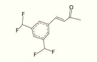 CC(=O)C=Cc1cc(C(F)F)cc(C(F)F)c1